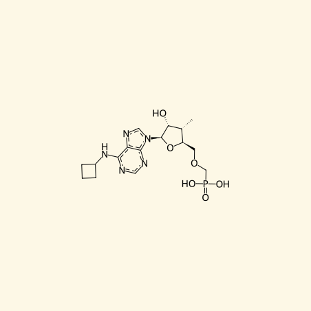 C[C@H]1[C@@H](O)[C@H](n2cnc3c(NC4CCC4)ncnc32)O[C@@H]1COCP(=O)(O)O